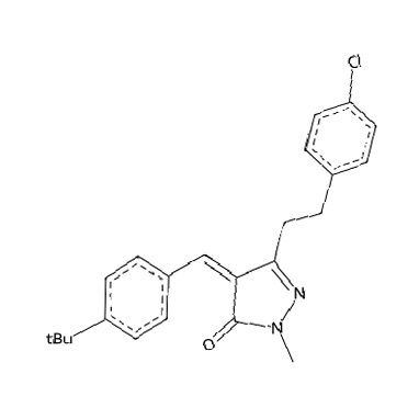 CN1N=C(CCc2ccc(Cl)cc2)C(=Cc2ccc(C(C)(C)C)cc2)C1=O